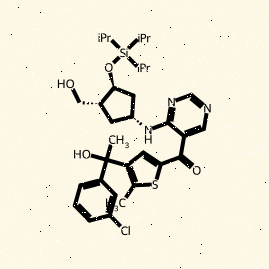 Cc1sc(C(=O)c2cncnc2N[C@@H]2C[C@H](CO)[C@@H](O[Si](C(C)C)(C(C)C)C(C)C)C2)cc1C(C)(O)c1cccc(Cl)c1